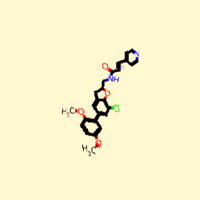 COc1ccc(OC)c(-c2cc(Cl)c3c(c2)CC(CNC(=O)/C=C/c2ccncc2)O3)c1